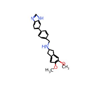 COc1cc2c(cc1OC)CC(NCc1ccc(-c3ccc4nc[nH]c4c3)cc1)C2